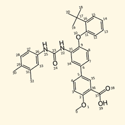 COc1ccc(-c2ccc(Oc3ccccc3C(C)(C)C)c(NC(=O)Nc3ccc(C)c(C)c3)c2)cc1C(=O)O